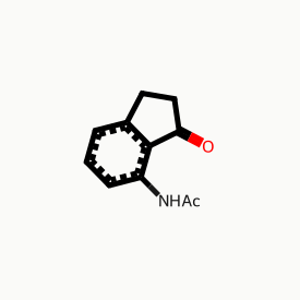 CC(=O)Nc1cccc2c1C(=O)CC2